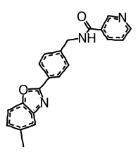 Cc1ccc2oc(-c3ccc(CNC(=O)c4cccnc4)cc3)nc2c1